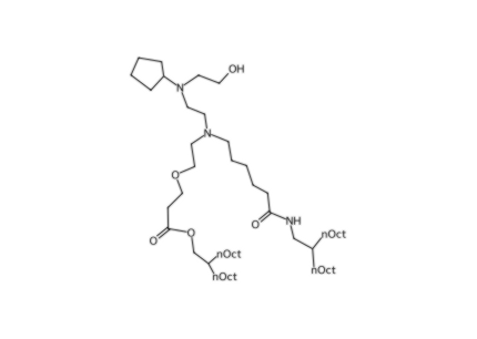 CCCCCCCCC(CCCCCCCC)CNC(=O)CCCCCN(CCOCCC(=O)OCC(CCCCCCCC)CCCCCCCC)CCN(CCO)C1CCCC1